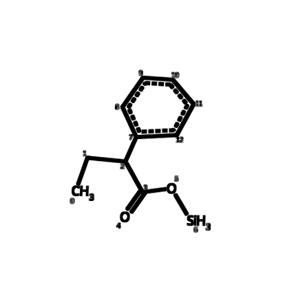 CCC(C(=O)O[SiH3])c1ccccc1